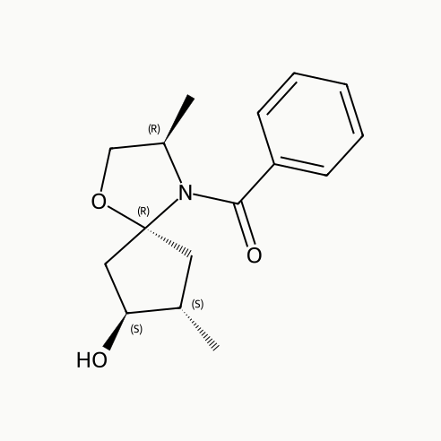 C[C@@H]1CO[C@@]2(C[C@H](C)[C@@H](O)C2)N1C(=O)c1ccccc1